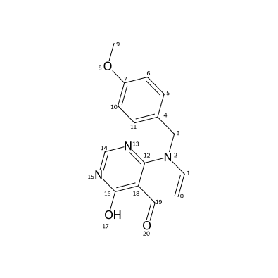 C=CN(Cc1ccc(OC)cc1)c1ncnc(O)c1C=O